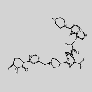 O=C1CCC(c2cc(CN3CCC(n4cc(NC(=O)c5cnn6ccc(N7CCOCC7)nc56)c(C(F)F)n4)CC3)ccn2)C(=O)N1